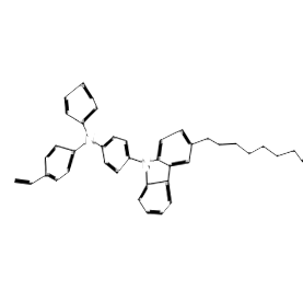 C=Cc1ccc(N(c2ccccc2)c2ccc(-n3c4ccccc4c4cc(CCCCCCCC)ccc43)cc2)cc1